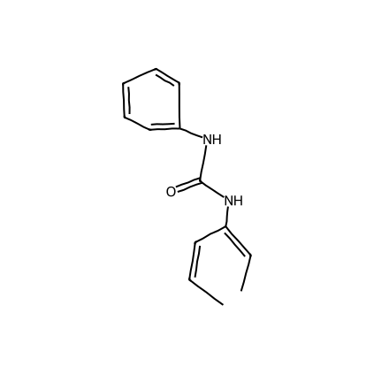 C/C=C\C(=C/C)NC(=O)Nc1ccccc1